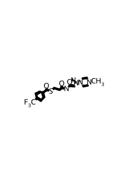 CN1CCN([n+]2cc([N-]C(=O)CCSC(=O)c3ccc(C(F)(F)F)cc3)on2)CC1